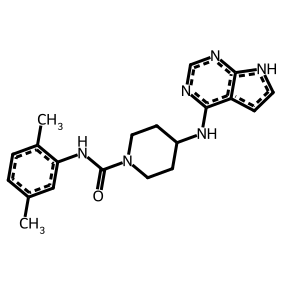 Cc1ccc(C)c(NC(=O)N2CCC(Nc3ncnc4[nH]ccc34)CC2)c1